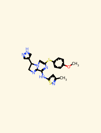 COc1ccc(SC2=CN3C(=NCC3c3cn[nH]c3)C(Nc3cc(C)ns3)=N2)cc1